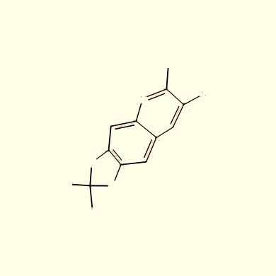 Cc1nc2cc3c(cc2cc1N)OC(F)(F)O3